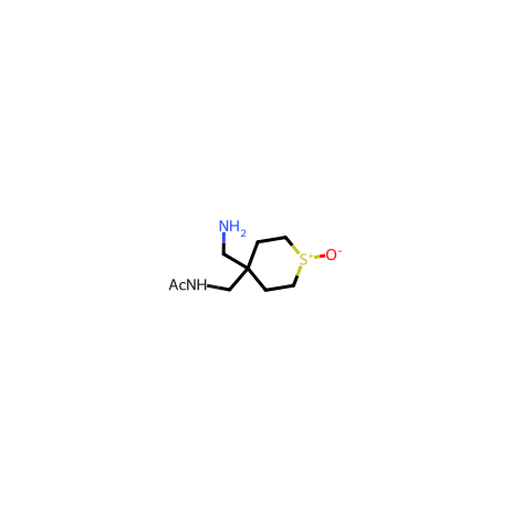 CC(=O)NCC1(CN)CC[S+]([O-])CC1